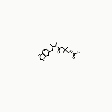 CCC(=O)OCC(C)(C)CC(=O)N(C)C(C)Cc1ccc2c(c1)OCO2